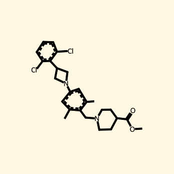 COC(=O)C1CCN(Cc2c(C)cc(N3CC(c4c(Cl)cccc4Cl)C3)cc2C)CC1